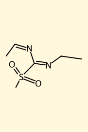 C/C=N\C(=N/CC)S(C)(=O)=O